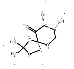 CC1(C)OC[C@]2(OC[C@@H](O)[C@@H](O)C2=O)O1